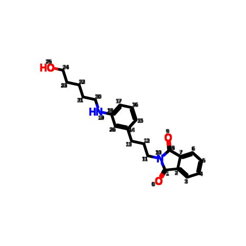 O=C1c2ccccc2C(=O)N1CCCc1cccc(NCCCCCO)c1